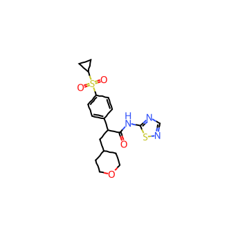 O=C(Nc1ncns1)C(CC1CCOCC1)c1ccc(S(=O)(=O)C2CC2)cc1